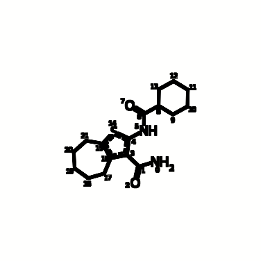 NC(=O)c1c(NC(=O)C2CCCCC2)sc2c1CCCCC2